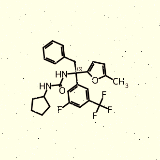 Cc1ccc([C@@](Cc2ccccc2)(NC(=O)NC2CCCC2)c2cc(F)cc(C(F)(F)F)c2)o1